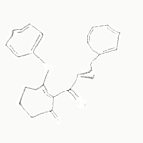 O=C(/C=C/c1ccccc1)C1=C(Oc2ccccc2)CCCC1=O